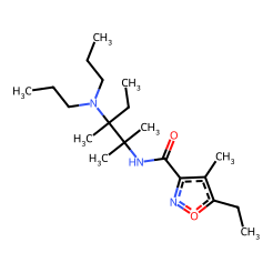 CCCN(CCC)C(C)(CC)C(C)(C)NC(=O)c1noc(CC)c1C